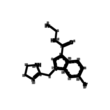 CC(C)CNC(=O)c1cn(CC2=NCCN2)c2cc(Br)ccc12